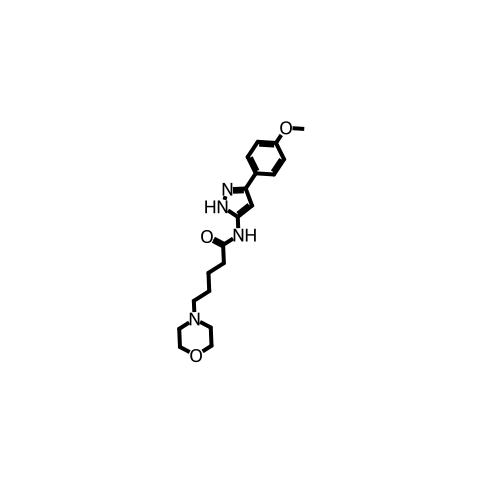 COc1ccc(-c2cc(NC(=O)CCCCN3CCOCC3)[nH]n2)cc1